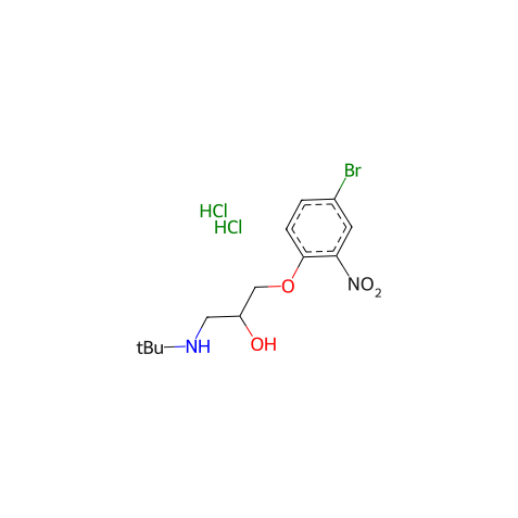 CC(C)(C)NCC(O)COc1ccc(Br)cc1[N+](=O)[O-].Cl.Cl